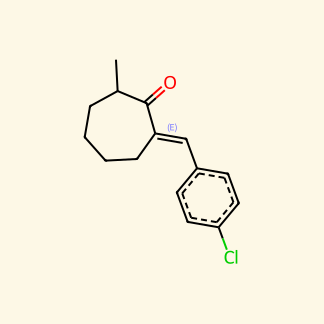 CC1CCCC/C(=C\c2ccc(Cl)cc2)C1=O